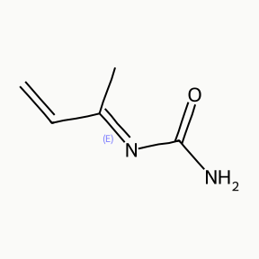 C=C/C(C)=N/C(N)=O